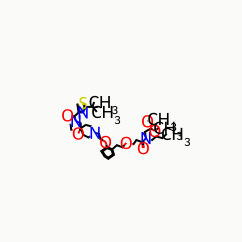 CCCCN(CC(OC)OC)C(=O)CCOCCc1ccccc1OCCN1CCC2(CC1)CN(C(=O)c1csc(C(C)C)n1)CCO2